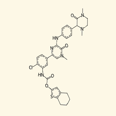 CN1CCN(C)C(c2ccc(Nc3nc(-c4ccc(Cl)c(NC(=O)Oc5cc6c(s5)CCCC6)c4)cn(C)c3=O)cc2)C1=O